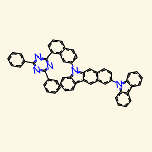 c1ccc(-c2nc(-c3ccccc3)nc(-c3cccc4ccc(-n5c6ccccc6c6cc7cc(-n8c9ccccc9c9ccccc98)ccc7cc65)cc34)n2)cc1